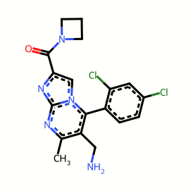 Cc1nc2nc(C(=O)N3CCC3)cn2c(-c2ccc(Cl)cc2Cl)c1CN